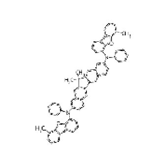 Cc1cccc2c1oc1c(N(c3ccccc3)c3ccc4cc5c(cc4c3)C(C)(C)c3cc4cc(N(c6ccccc6)c6cccc7c6oc6c(C)cccc67)ccc4cc3-5)cccc12